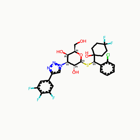 OC[C@H]1O[C@@H](S[C@H](c2ccccc2Cl)C2(O)CCC(F)(F)CC2)[C@H](O)[C@@H](n2cc(-c3cc(F)c(F)c(F)c3)nn2)[C@H]1O